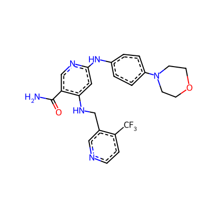 NC(=O)c1cnc(Nc2ccc(N3CCOCC3)cc2)cc1NCc1cnccc1C(F)(F)F